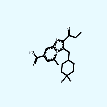 CCC(=O)c1nc2cc(C(=O)O)cc(C)n2c1CC1CCC(F)(F)CC1